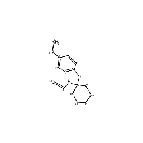 COc1ccc(CC2(OC=O)CCCCC2)cc1